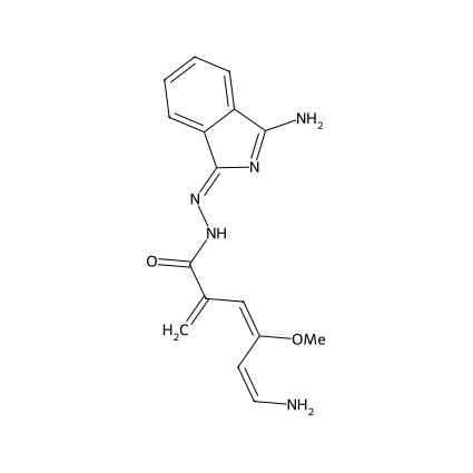 C=C(/C=C(\C=C/N)OC)C(=O)N/N=C1\N=C(N)c2ccccc21